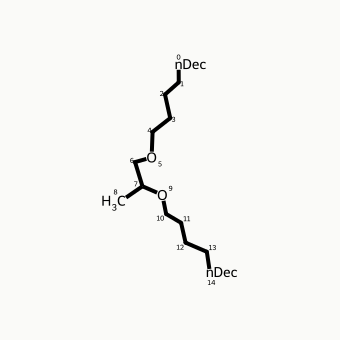 CCCCCCCCCCCCCCOCC(C)OCCCCCCCCCCCCCC